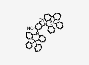 N#Cc1cc(C#N)c(N2c3ccccc3[Si](c3ccccc3)(c3ccccc3)c3ccccc32)cc1N1c2ccccc2C(c2ccccc2)(c2ccccc2)c2ccccc21